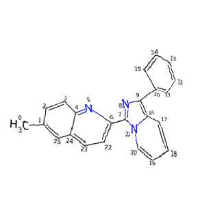 Cc1ccc2nc(-c3nc(-c4ccccc4)c4ccccn34)ccc2c1